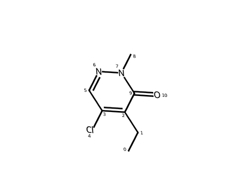 CCc1c(Cl)cnn(C)c1=O